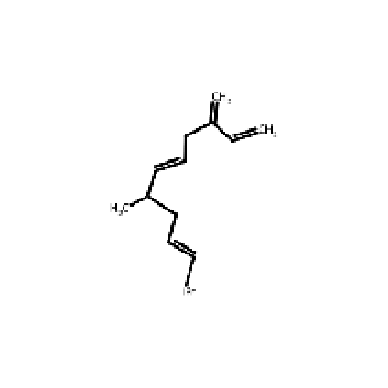 C=CC(=C)C/C=C/C(C)CC=CC(C)C